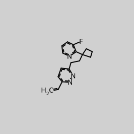 C=Cc1ccc(CCC2(c3ncccc3F)CCC2)nn1